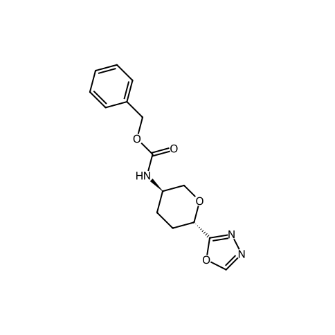 O=C(N[C@@H]1CC[C@@H](c2nnco2)OC1)OCc1ccccc1